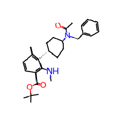 CNc1c(C(=O)OC(C)(C)C)ccc(C)c1[C@H]1CC[C@H](N(Cc2ccccc2)C(C)=O)CC1